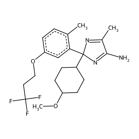 COC1CCC(C2(c3cc(OCCC(F)(F)F)ccc3C)N=C(C)C(N)=N2)CC1